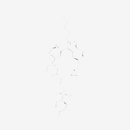 Cc1ccc(S(=O)(=O)OCCC2CN(c3cc(-c4c5cc(OC6(C)CC6)ccc5nn4COCC[Si](C)(C)C)ncn3)CCO2)cc1